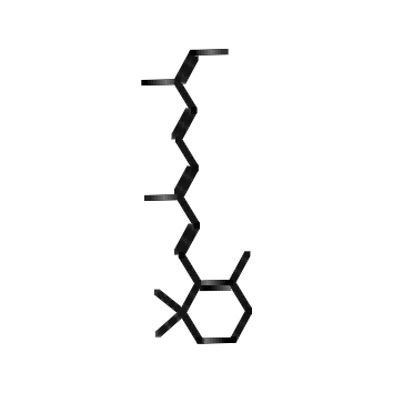 C\C=C(C)/C=C/C=C(C)/C=C/C1=C(C)CCCC1(C)C